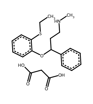 CCSc1ccccc1OC(CCNC)c1ccccc1.O=C(O)CC(=O)O